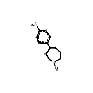 COc1ccc(C2CCCN(C(=O)O)CC2)cc1